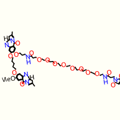 COc1cc2c(cc1OCCCCCOc1cc3c(cc1OCCCNC(=O)CCOCCOCCOCCOCCOCCOCCOCCOCCNC(=O)CCN1C(=O)C=CC1=O)C(=O)N1C=C(C)C[C@H]1C=N3)N=C[C@@H]1CC(C)=CN1C2=O